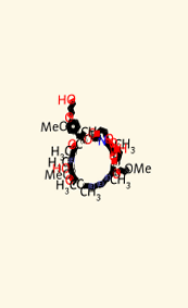 COCCO[C@H]1C[C@@H]2CC[C@@H](C)[C@@](O)(O2)C(=O)C(=O)N2CCCC[C@H]2C(=O)O[C@H](C(C)C[C@@H]2CC[C@@H](OCCCO)[C@H](OC)C2)CC(=O)[C@H](C)/C=C(\C)[C@@H](O)[C@@H](OC)C(=O)[C@H](C)C[C@H](C)/C=C/C=C/C=C/1C